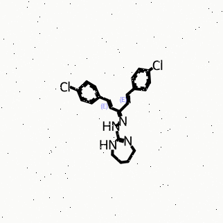 Clc1ccc(/C=C/C(/C=C/c2ccc(Cl)cc2)=NNC2=NCCCCN2)cc1